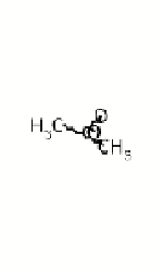 CCCCCC(CCCCC)CC(=O)CC=O